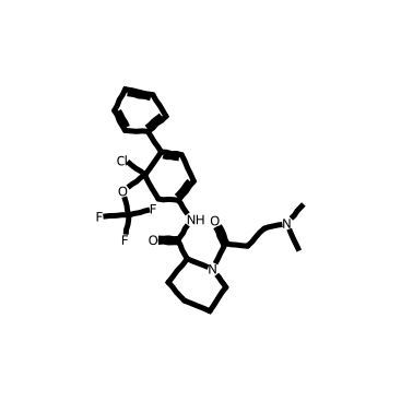 CN(C)CCC(=O)N1CCCCC1C(=O)NC1=CC=C(c2ccccc2)C(Cl)(OC(F)(F)F)C1